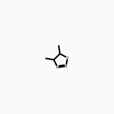 CC1N=NOC1C